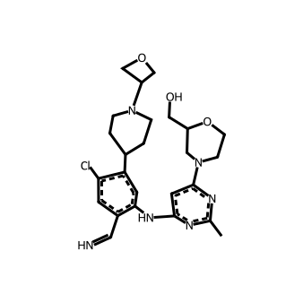 Cc1nc(Nc2cc(C3CCN(C4COC4)CC3)c(Cl)cc2C=N)cc(N2CCOC(CO)C2)n1